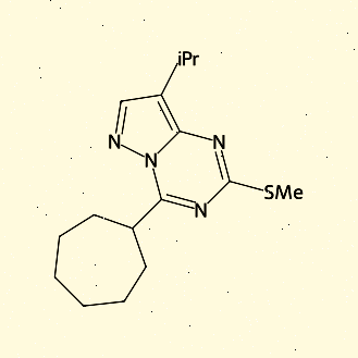 CSc1nc(C2CCCCCC2)n2ncc(C(C)C)c2n1